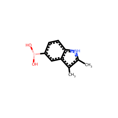 Cc1[nH]c2ccc(B(O)O)cc2c1C